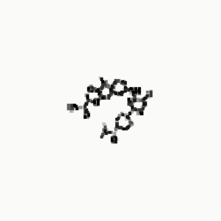 CNC(=O)[C@@H](C)Oc1cc2cc(Nc3nc(N4CCC(C(=O)N(C)C)CC4)ncc3Cl)ccc2n(C)c1=O